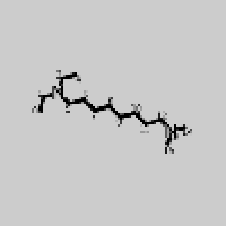 CCN(CC)CCCCCCCCN(C)C